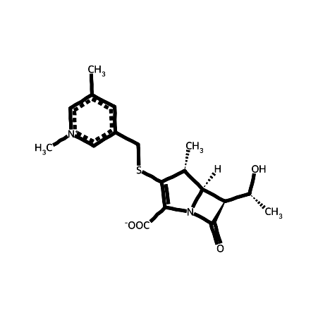 Cc1cc(CSC2=C(C(=O)[O-])N3C(=O)[C@H]([C@@H](C)O)[C@@H]3[C@H]2C)c[n+](C)c1